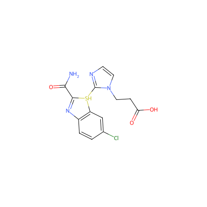 NC(=O)C1=Nc2ccc(Cl)cc2[SH]1c1nccn1CCC(=O)O